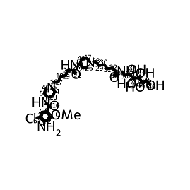 COc1cc(N)c(Cl)cc1C(=O)NC1CCN(CCCCCC(=O)NC2CCN(CCCCCC(=O)NC[C@H](O)[C@@H](O)[C@H](O)[C@H](O)CO)CC2)CC1